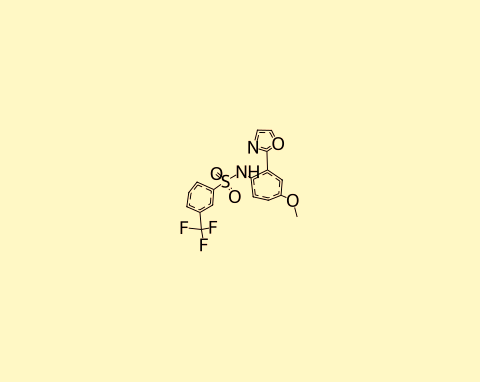 COc1ccc(NS(=O)(=O)c2cccc(C(F)(F)F)c2)c(-c2ncco2)c1